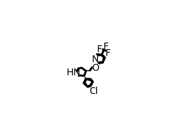 FC(F)(F)c1ccc(OCC[C@@H]2CCNC[C@@H]2c2ccc(Cl)cc2)nc1